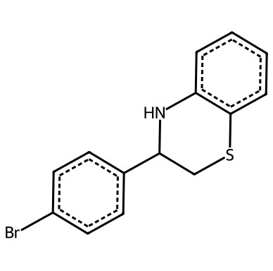 Brc1ccc(C2CSc3ccccc3N2)cc1